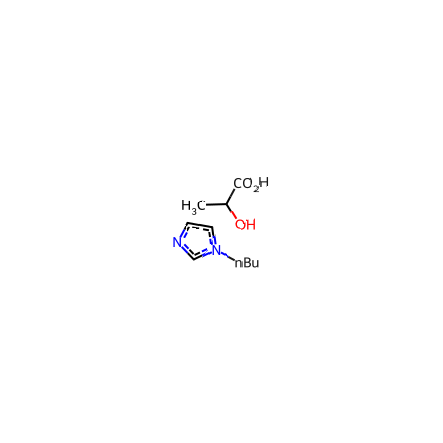 CC(O)C(=O)O.CCCCn1ccnc1